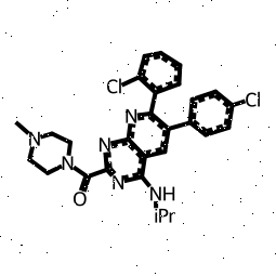 CC(C)Nc1nc(C(=O)N2CCN(C)CC2)nc2nc(-c3ccccc3Cl)c(-c3ccc(Cl)cc3)cc12